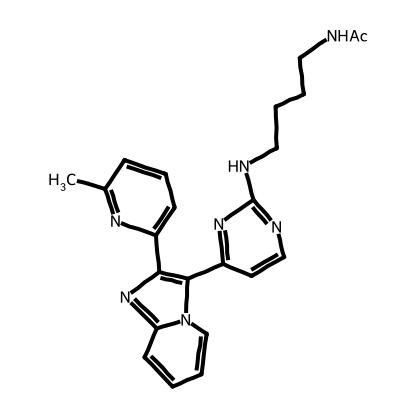 CC(=O)NCCCCNc1nccc(-c2c(-c3cccc(C)n3)nc3ccccn23)n1